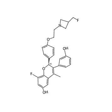 CC1=C(c2cccc(O)c2)[C@H](c2ccc(OCCN3CC(CF)C3)cc2)Oc2c(F)cc(O)cc21